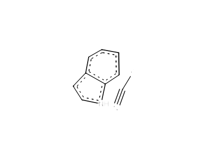 N#CCl.c1ccc2[nH]ccc2c1